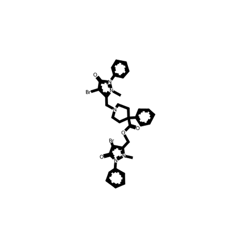 Cn1c(COC(=O)C2(c3ccccc3)CCN(Cc3c(Br)c(=O)n(-c4ccccc4)n3C)CC2)c(Br)c(=O)n1-c1ccccc1